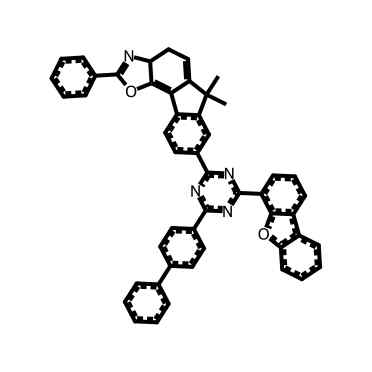 CC1(C)C2=CCC3N=C(c4ccccc4)OC3=C2c2ccc(-c3nc(-c4ccc(-c5ccccc5)cc4)nc(-c4cccc5c4oc4ccccc45)n3)cc21